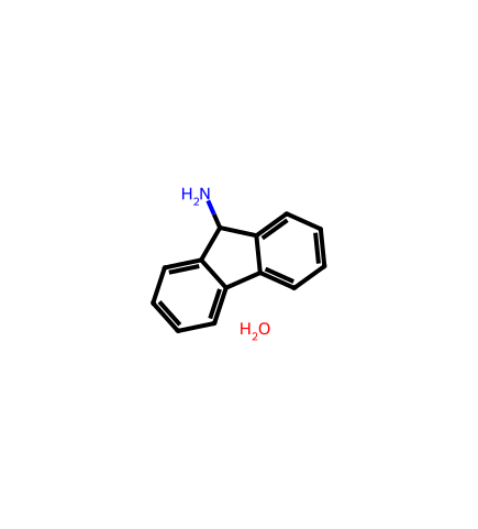 NC1c2ccccc2-c2ccccc21.O